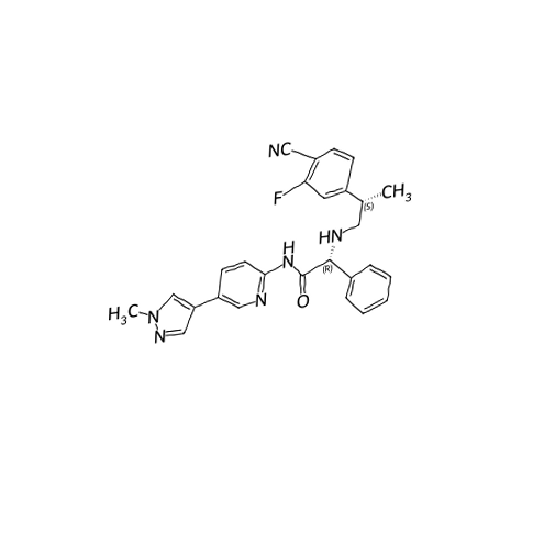 C[C@H](CN[C@@H](C(=O)Nc1ccc(-c2cnn(C)c2)cn1)c1ccccc1)c1ccc(C#N)c(F)c1